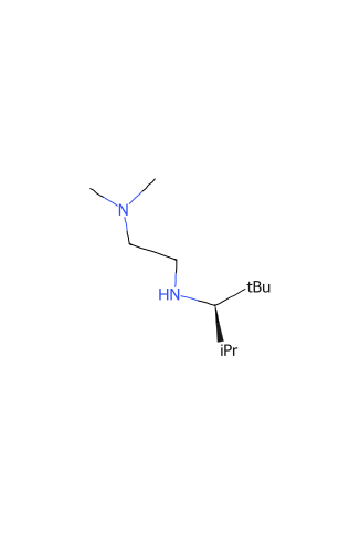 CC(C)[C@@H](NCCN(C)C)C(C)(C)C